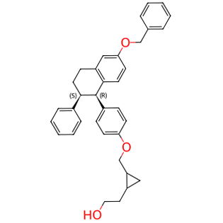 OCCC1CC1COc1ccc([C@@H]2c3ccc(OCc4ccccc4)cc3CC[C@@H]2c2ccccc2)cc1